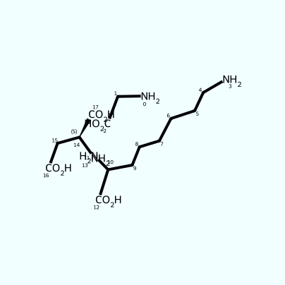 NCC(=O)O.NCCCCCCC(N)C(=O)O.N[C@@H](CC(=O)O)C(=O)O